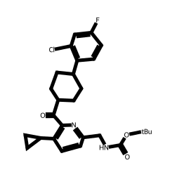 CC(C)(C)OC(=O)NCc1ccc(C2CC2)c(C(=O)C2CCC(c3ccc(F)cc3Cl)CC2)n1